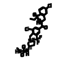 CCS(=O)(=O)c1ccc(Cl)cc1CNC(=O)c1cc(Cl)c(CN2CC[C@H](NS(=O)(=O)NC)C2)c(C(F)(F)F)c1